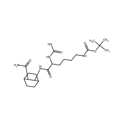 CC(C)(C)OC(=O)NCCCCC(NC(=O)O)C(=O)NC1C2CCC(CC2)C1C(N)=O